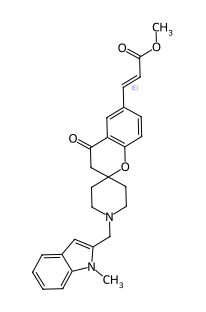 COC(=O)/C=C/c1ccc2c(c1)C(=O)CC1(CCN(Cc3cc4ccccc4n3C)CC1)O2